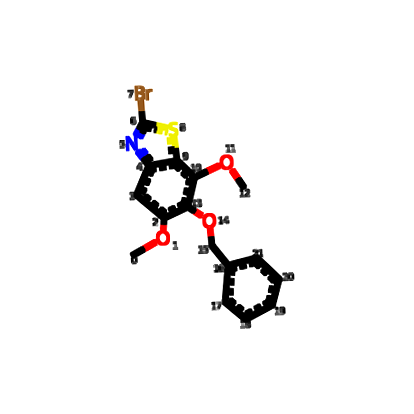 COc1cc2nc(Br)sc2c(OC)c1OCc1ccccc1